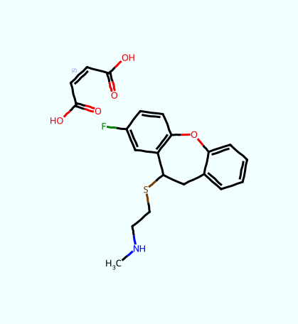 CNCCSC1Cc2ccccc2Oc2ccc(F)cc21.O=C(O)/C=C\C(=O)O